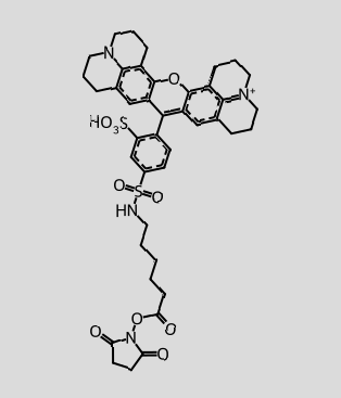 O=C(CCCCCNS(=O)(=O)c1ccc(C2=c3cc4c5c(c3Oc3c2cc2c6c3CCCN6CCC2)CCC[N+]=5CCC4)c(S(=O)(=O)O)c1)ON1C(=O)CCC1=O